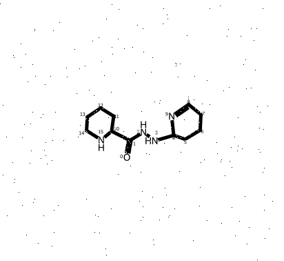 O=C(NNC1CCCC=N1)C1CCCCN1